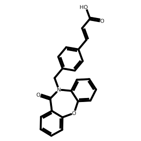 O=C(O)/C=C/c1ccc(CN2C(=O)c3ccccc3Oc3ccccc32)cc1